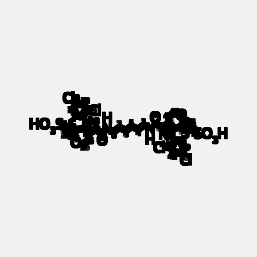 O=C(NCCCCCCNC(=O)c1nn(-c2ccc(Cl)cc2Cl)c2c1CCOc1cc(S(=O)(=O)O)sc1-2)c1nn(-c2ccc(Cl)cc2Cl)c2c1CCOc1cc(S(=O)(=O)O)sc1-2